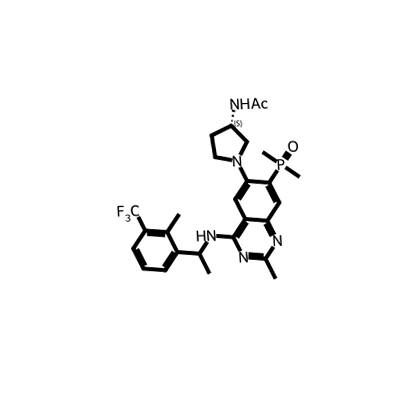 CC(=O)N[C@H]1CCN(c2cc3c(NC(C)c4cccc(C(F)(F)F)c4C)nc(C)nc3cc2P(C)(C)=O)C1